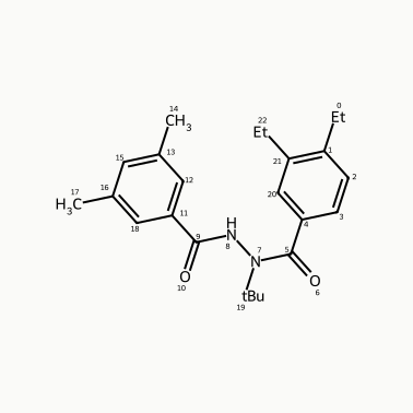 CCc1ccc(C(=O)N(NC(=O)c2cc(C)cc(C)c2)C(C)(C)C)cc1CC